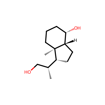 C[C@H](CO)[C@H]1CC[C@H]2[C@@H](O)CCC[C@]12C